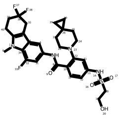 Cn1c2c(c3cc(NC(=O)c4ccc(NS(=O)(=O)CCO)cc4N4CCC5(CC4)CC5)cc(F)c31)CC(F)(F)CC2